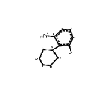 CCCc1cccc(C)c1C1CCCCC1